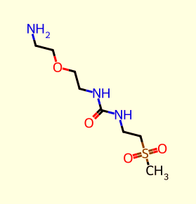 CS(=O)(=O)CCNC(=O)NCCOCCN